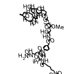 C=C1C[C@@H]2CC([C@]34C[C@@H](O)[C@H](O3)C3C[C@@H](O4)[C@H]4O[C@@H](CC(=O)C[C@@H]5[C@@H](OC)[C@@H](C[C@H](O)CNC(=O)OCc6ccc(NC(=O)[C@H](CCCNC(N)=O)NC(=O)[C@@H](NC(=O)CCCCCN7C(=O)C=CC7=O)C(C)C)cc6)O[C@H]5C)CC[C@@H]4O3)[C@@H]3C[C@H](CC[C@@H]1O2)O[C@H](C)C3=C